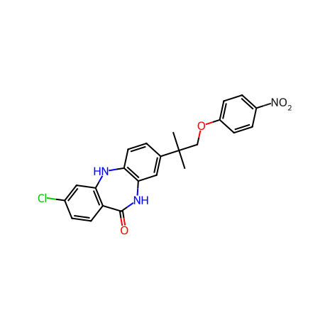 CC(C)(COc1ccc([N+](=O)[O-])cc1)c1ccc2c(c1)NC(=O)c1ccc(Cl)cc1N2